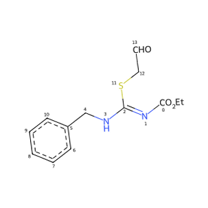 CCOC(=O)/N=C(/NCc1ccccc1)SCC=O